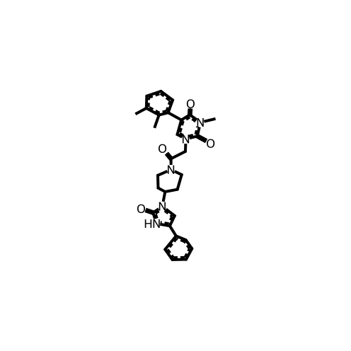 Cc1cccc(-c2cn(CC(=O)N3CCC(n4cc(-c5ccccc5)[nH]c4=O)CC3)c(=O)n(C)c2=O)c1C